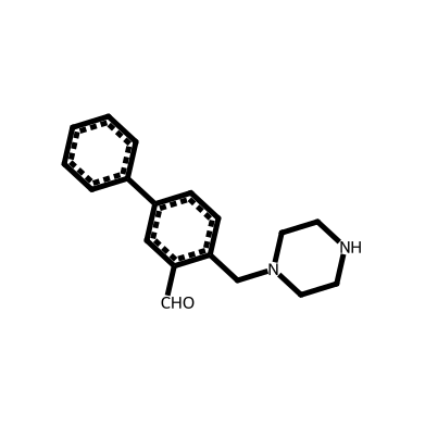 O=Cc1cc(-c2ccccc2)ccc1CN1CCNCC1